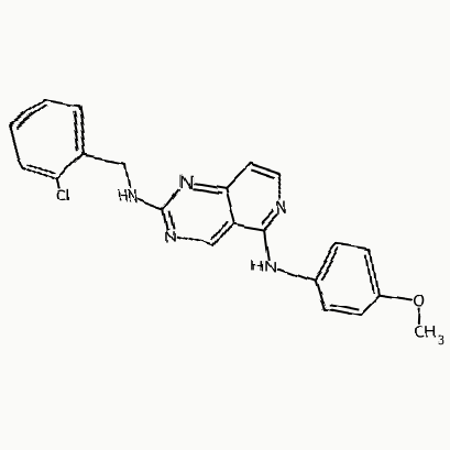 COc1ccc(Nc2nccc3nc(NCc4ccccc4Cl)ncc23)cc1